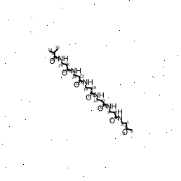 CC(=O)CCNC(=O)CCNC(=O)CCNC(=O)CCNC(=O)CCNC(=O)CCNC(=O)C(C)C